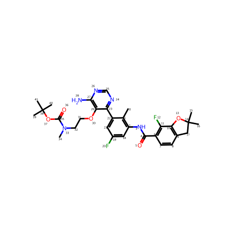 Cc1c(NC(=O)c2ccc3c(c2F)OC(C)(C)C3)cc(F)cc1-c1ncnc(N)c1OCCN(C)C(=O)OC(C)(C)C